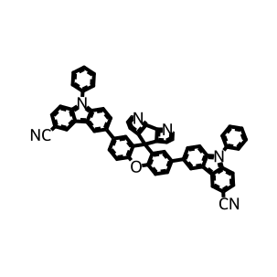 N#Cc1ccc2c(c1)c1cc(-c3ccc4c(c3)C3(c5cc(-c6ccc7c(c6)c6cc(C#N)ccc6n7-c6ccccc6)ccc5O4)c4cccnc4-c4ncccc43)ccc1n2-c1ccccc1